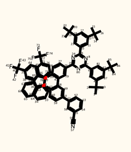 CC(C)(C)c1cc(-c2nc(-c3cc(C(C)(C)C)cc(C(C)(C)C)c3)nc(-c3ccc(-n4c5ccccc5c5cc(C(F)(F)F)ccc54)c(-c4cc(-c5cccc(C#N)c5)ccc4-n4c5ccccc5c5cc(C(F)(F)F)ccc54)c3)n2)cc(C(C)(C)C)c1